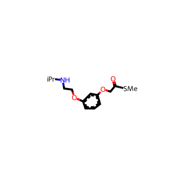 CSC(=O)COc1cccc(OCCNC(C)C)c1